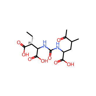 CC[C@@H](C(=O)O)C(NC(=O)NC(CC(C)C(C)=O)C(=O)O)C(=O)O